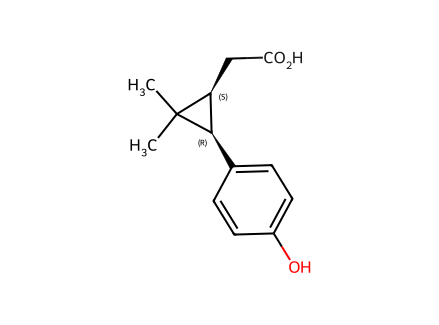 CC1(C)[C@H](c2ccc(O)cc2)[C@@H]1CC(=O)O